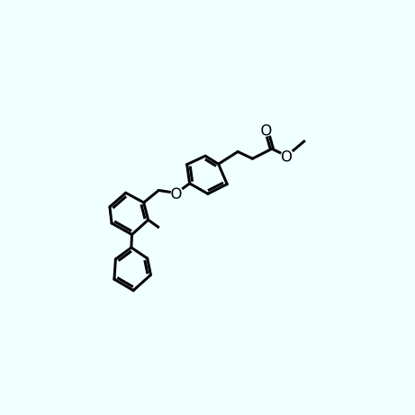 COC(=O)CCc1ccc(OCc2cccc(-c3ccccc3)c2C)cc1